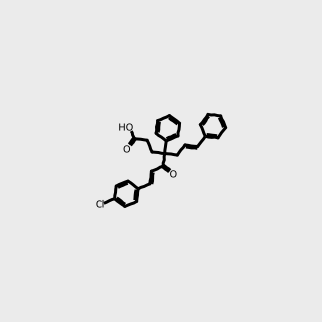 O=C(O)CCC(C/C=C/c1ccccc1)(C(=O)/C=C/c1ccc(Cl)cc1)c1ccccc1